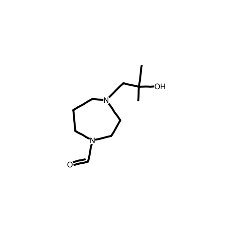 CC(C)(O)CN1CCCN(C=O)CC1